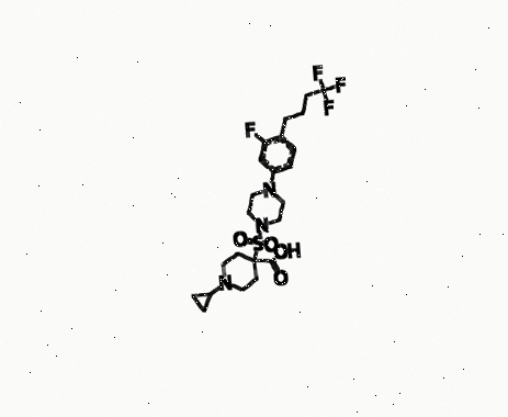 O=C(O)C1(S(=O)(=O)N2CCN(c3ccc(CCCC(F)(F)F)c(F)c3)CC2)CCN(C2CC2)CC1